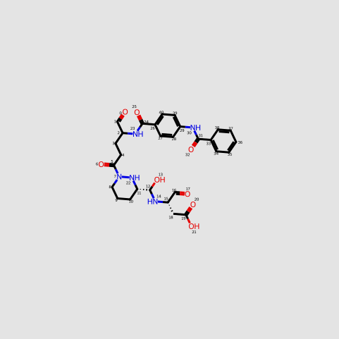 O=CC(CCC(=O)N1CCC[C@@H](C(O)N[C@H](C=O)CC(=O)O)N1)NC(=O)c1ccc(NC(=O)c2ccccc2)cc1